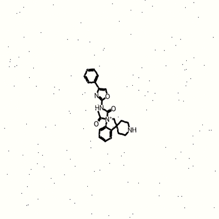 CC(=O)[N+]1(C(=O)Nc2nc(-c3ccccc3)co2)CC2(CCNCC2)c2ccccc21